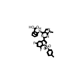 Cc1ccc(S(=O)(=O)n2cc(-c3nc(NC4C5CCC(CC5)C4C(=O)O)c4cnn(C)c4n3)c3cc(F)cc(F)c32)cc1